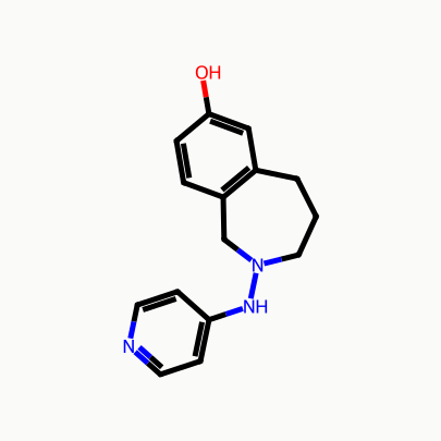 Oc1ccc2c(c1)CCCN(Nc1ccncc1)C2